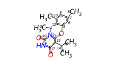 CCn1c(Oc2cc(C)cc(C)c2)c(C(C)C)c(=O)[nH]c1=O